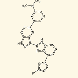 CN(C)c1cncc(-c2ccc3[nH]nc(-c4nc5c(-c6ccc(F)s6)cncc5[nH]4)c3n2)c1